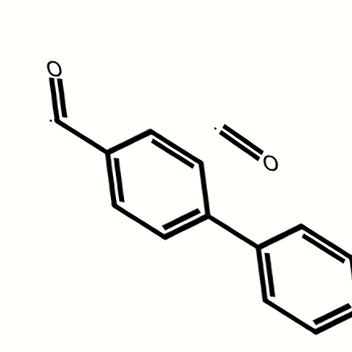 O=[C]c1ccc(-c2ccccc2)cc1.[CH]=O